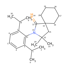 CC(C)c1cccc(C(C)C)c1N1C(=P)C2(CCCCC2)CC1(C)C